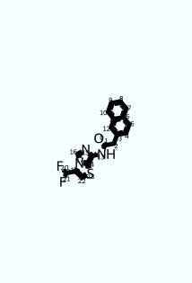 O=C(Cc1ccc2ccccc2c1)Nc1ncn2c(C(F)F)csc12